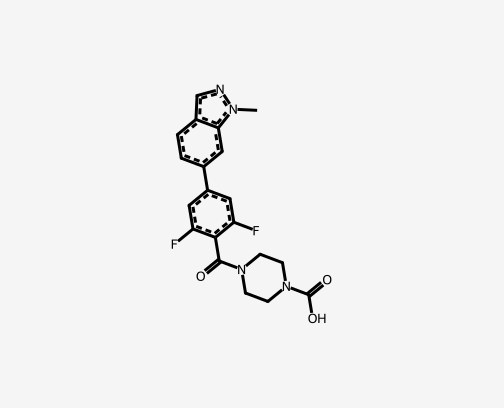 Cn1ncc2ccc(-c3cc(F)c(C(=O)N4CCN(C(=O)O)CC4)c(F)c3)cc21